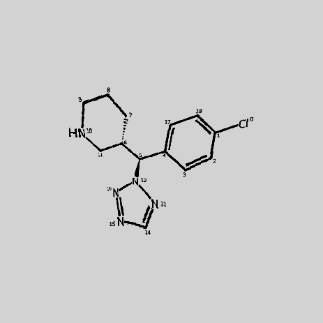 Clc1ccc([C@H]([C@H]2CCCNC2)n2ncnn2)cc1